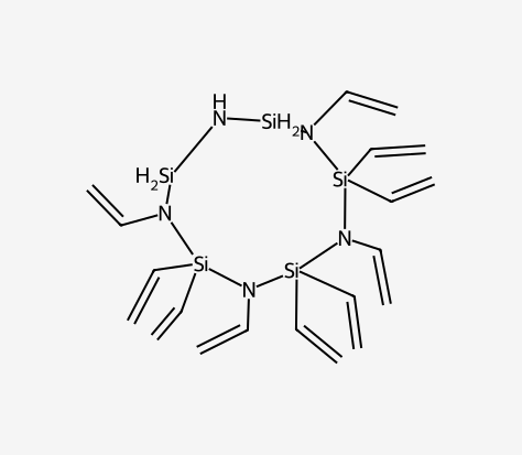 C=CN1[SiH2]N[SiH2]N(C=C)[Si](C=C)(C=C)N(C=C)[Si](C=C)(C=C)N(C=C)[Si]1(C=C)C=C